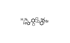 Cc1nc2c(OCc3c(Cl)ccc(-c4cc[nH]c4CN)c3Cl)cccn2c1Br